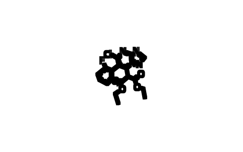 CCOC(=O)C(C(=O)OCC)c1c(-c2c(F)cccc2F)c(Cl)nc2ncnn12